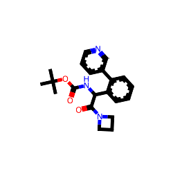 CC(C)(C)OC(=O)NC(C(=O)N1CCC1)c1ccccc1-c1[c]nccc1